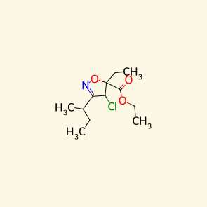 CCOC(=O)C1(CC)ON=C(C(C)CC)C1Cl